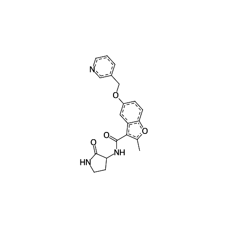 Cc1oc2ccc(OCc3cccnc3)cc2c1C(=O)NC1CCNC1=O